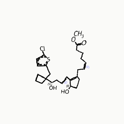 COC(=O)CCC/C=C\CC1=C(/C=C/C[C@H](O)C2(Cc3ccc(Cl)s3)CCC2)[C@H](O)CC1